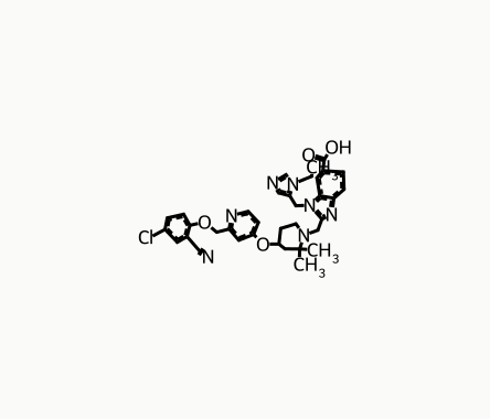 CCn1cncc1Cn1c(CN2CCC(Oc3ccnc(COc4ccc(Cl)cc4C#N)c3)CC2(C)C)nc2ccc(C(=O)O)cc21